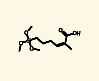 CO[Si](CCCC=C(C)C(=O)O)(OC)OC